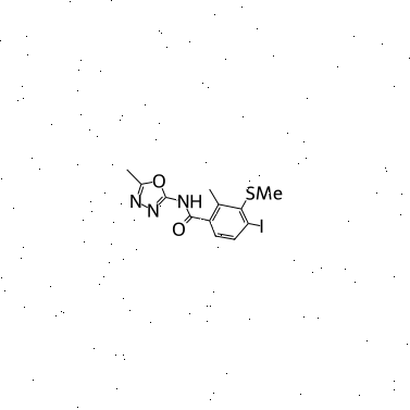 CSc1c(I)ccc(C(=O)Nc2nnc(C)o2)c1C